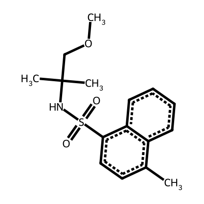 COCC(C)(C)NS(=O)(=O)c1ccc(C)c2ccccc12